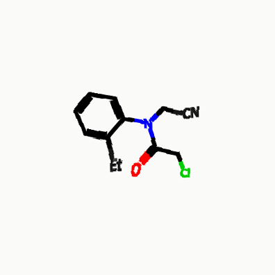 CCc1ccccc1N(CC#N)C(=O)CCl